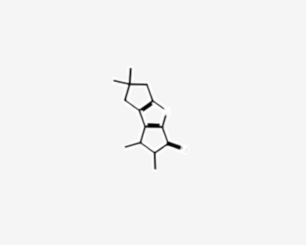 CC1C(=O)c2sc3c(c2C1C)CC(C)(C)C3